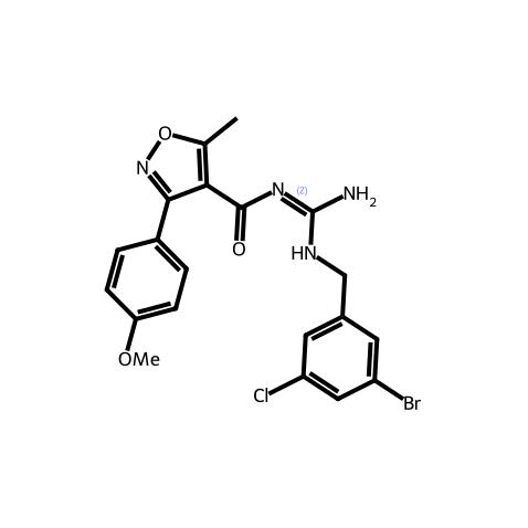 COc1ccc(-c2noc(C)c2C(=O)/N=C(/N)NCc2cc(Cl)cc(Br)c2)cc1